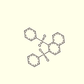 O=S(=O)(c1ccccc1)c1ccc2ccccc2c1S(=O)(=O)c1ccccc1